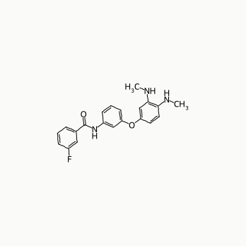 CNc1ccc(Oc2cccc(NC(=O)c3cccc(F)c3)c2)cc1NC